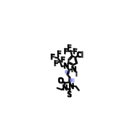 CCN1C(=O)/C(=C\C=C2/N(CC)c3cc(Cl)c(C(F)(F)F)cc3N2CC(F)(F)C(F)F)N(CC)C1=S